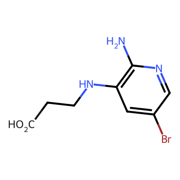 Nc1ncc(Br)cc1NCCC(=O)O